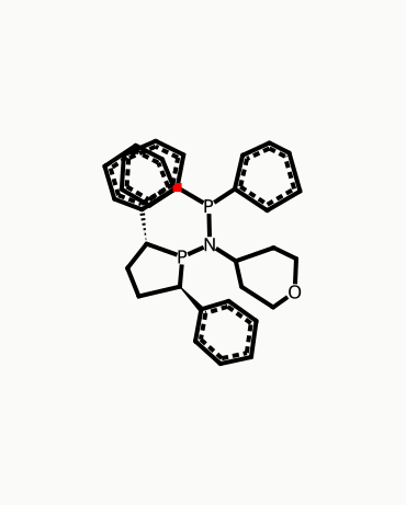 c1ccc([C@H]2CC[C@H](c3ccccc3)P2N(C2CCOCC2)P(c2ccccc2)c2ccccc2)cc1